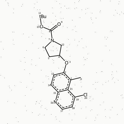 Cc1c(OC2CCN(C(=O)OC(C)(C)C)C2)ccc2nccc(Cl)c12